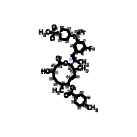 C/C(=C\c1cc(F)cc(N(C(C)C)C2CCN(S(C)(=O)=O)CC2)c1)[C@H]1OC(=O)C[C@H](O)CC[C@H](C)[C@@H](OC(=O)N2CCN(C)CC2)/C=C/[C@@H]1C